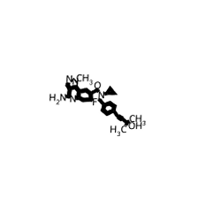 Cn1ncc2c(N)nc3cc(F)c(C(=O)N(Cc4ccc(C#CC(C)(C)O)cc4)C4CC4)cc3c21